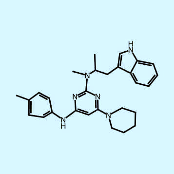 Cc1ccc(Nc2cc(N3CCCCC3)nc(N(C)C(C)Cc3c[nH]c4ccccc34)n2)cc1